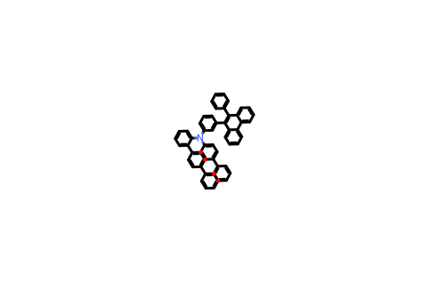 c1ccc(-c2ccc(-c3ccccc3N(c3ccc(-c4ccccc4)cc3)c3cccc(-c4c(-c5ccccc5)c5ccccc5c5ccccc45)c3)cc2)cc1